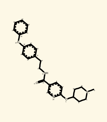 CN1CCC(Oc2ccc(C(=O)NCCc3ccc(Oc4ccccc4)cc3)cn2)CC1